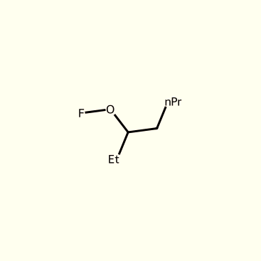 CCCCC(CC)OF